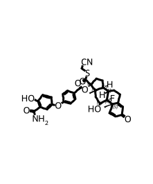 C[C@]12C=CC(=O)C=C1CC[C@H]1[C@@H]3CC[C@](OC(=O)c4ccc(Oc5ccc(O)c(C(N)=O)c5)cc4)(C(=O)SCC#N)[C@@]3(C)C[C@H](O)[C@@]12F